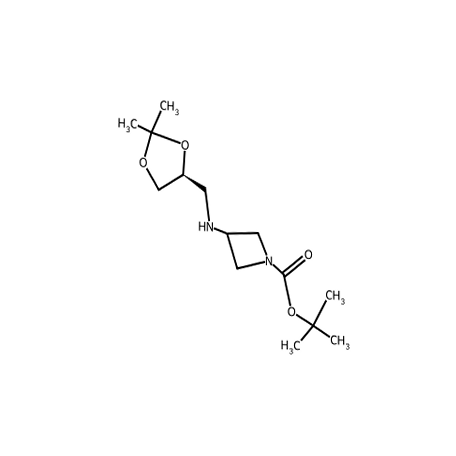 CC(C)(C)OC(=O)N1CC(NC[C@H]2COC(C)(C)O2)C1